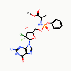 CC(C)OC(=O)[C@@H](C)N[P@@](=O)(OC[C@H]1O[C@@H](n2cnc3c(=O)[nH]c(N)nc32)[C@@](F)(Cl)[C@@H]1O)Oc1ccccc1